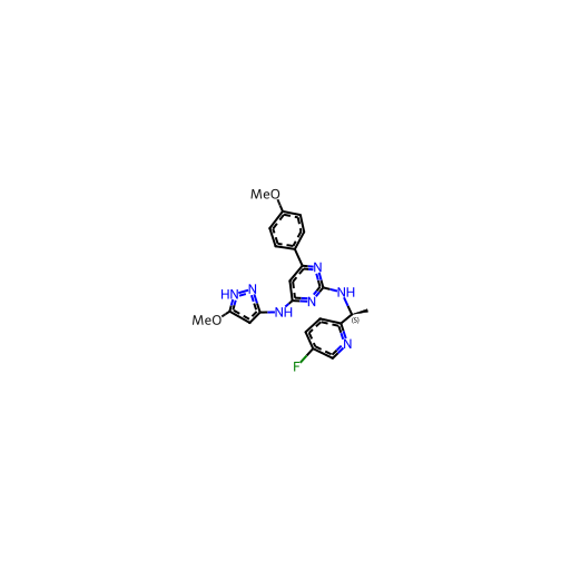 COc1ccc(-c2cc(Nc3cc(OC)[nH]n3)nc(N[C@@H](C)c3ccc(F)cn3)n2)cc1